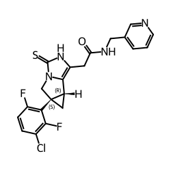 O=C(Cc1[nH]c(=S)n2c1[C@@H]1C[C@]1(c1c(F)ccc(Cl)c1F)C2)NCc1cccnc1